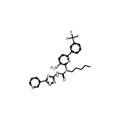 CCCCCN(C(=O)Nc1nnc(-c2cccnc2)o1)c1nc(-c2cccc(C(F)(F)F)c2)ccc1N